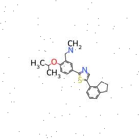 C=NCc1cc(-c2ncc(-c3cccc4c3CCC4)s2)ccc1OC(C)C